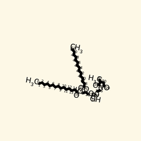 CCCCCCCCCCCCCCCC(=O)OCC(COP(O)OCCN1C(=O)CC(C)C1=O)OC(=O)CCCCCCCCCCCCCCC